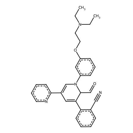 CCN(CC)CCOc1cccc(N2C=C(c3ccccn3)C=C(c3ccccc3C#N)C2C=O)c1